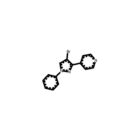 Brc1cn(-c2ccccc2)nc1-c1ccncc1